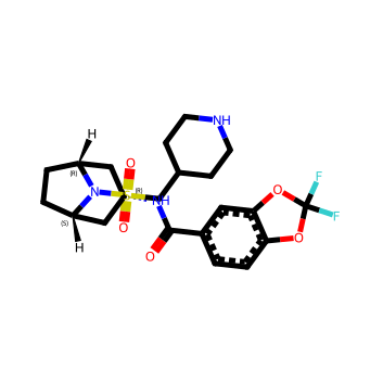 O=C(N[C@H]1C[C@H]2CC[C@@H](C1)N2S(=O)(=O)CC1CCNCC1)c1ccc2c(c1)OC(F)(F)O2